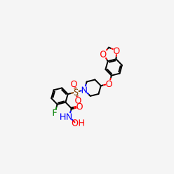 O=C(NO)c1c(F)cccc1S(=O)(=O)N1CCC(Oc2ccc3c(c2)OCO3)CC1